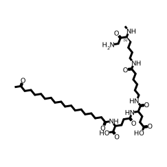 CN[C@@H](CCCCNC(=O)CCCCCNC(=O)C(CCC(=O)O)NC(=O)CCC(NC(=O)CCCCCCCCCCCCCCCCC(C)=O)C(=O)O)C(=O)CN